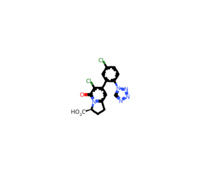 O=C(O)[C@@H]1CCc2cc(-c3cc(Cl)ccc3-n3cnnn3)c(Cl)c(=O)n21